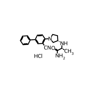 C[C@H](N[C@H]1CCN(c2ccc(-c3ccccc3)cc2C#N)C1)C(N)=O.Cl